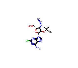 CC(C)(C)[Si](C)(C)OC1C(N=[N+]=[N-])[C@@H](CO)O[C@H]1n1cnc2c(N)nc(Cl)nc21